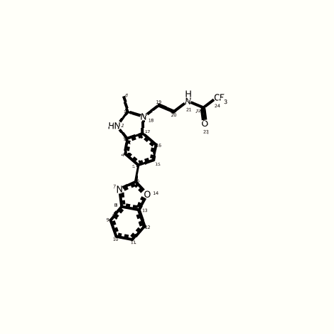 CC1Nc2cc(-c3nc4ccccc4o3)ccc2N1CCNC(=O)C(F)(F)F